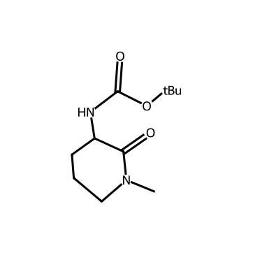 CN1CCCC(NC(=O)OC(C)(C)C)C1=O